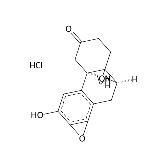 Cl.O=C1CCC2(O)[C@H]3Cc4c(cc(O)c5c4O5)[C@@]2(CCN3)C1